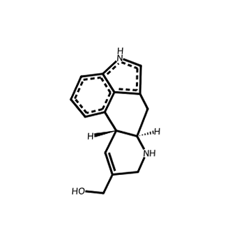 OCC1=C[C@@H]2c3cccc4[nH]cc(c34)C[C@H]2NC1